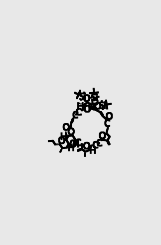 C=C1CC2CCC(=O)/C=C/[C@H](O[Si](C)(C)C(C)(C)C)[C@@H]3O[C@@H](CCC=CC(=O)OC4[C@H](CC5O[C@@H](CCC1O2)C[C@@H](C)C5=C)O[C@H]1C[C@@H](C)[C@@H](CCC)O[C@H]1[C@@H]4C)[C@H](C)[C@H](O[Si](C)(C)C(C)(C)C)[C@@H]3O[Si](C)(C)C(C)(C)C